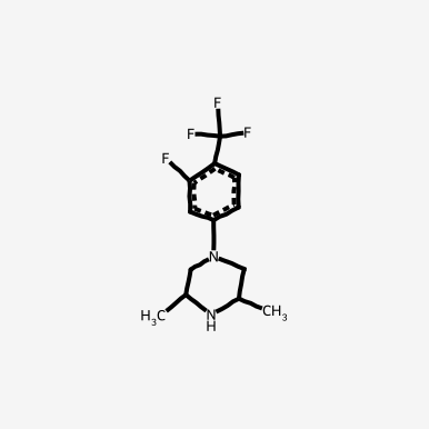 CC1CN(c2ccc(C(F)(F)F)c(F)c2)CC(C)N1